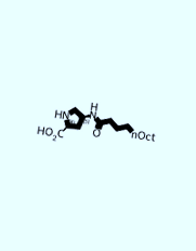 CCCCCCCCCCCC(=O)N[C@@H]1CN[C@@H](C(=O)O)C1